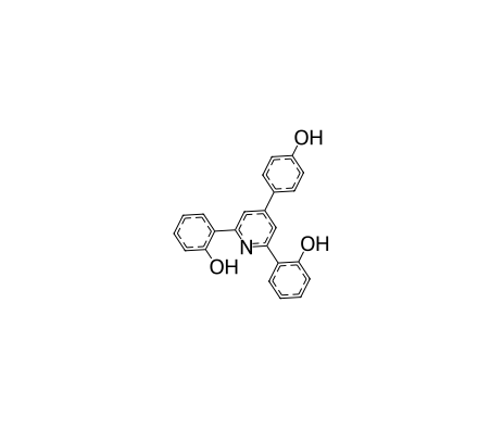 Oc1ccc(-c2cc(-c3ccccc3O)nc(-c3ccccc3O)c2)cc1